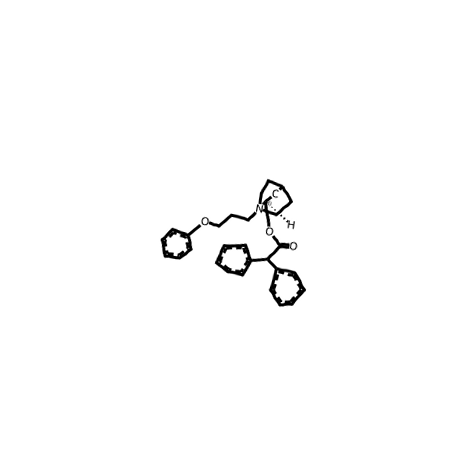 O=C(O[C@@H]1CC2CC[N+]1(CCCOc1ccccc1)CC2)C(c1ccccc1)c1ccccc1